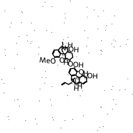 C=CCN1CC[C@]23c4c5ccc(O)c4O[C@H]2[C@@H](O)C=C[C@H]3[C@H]1C5.COc1ccc2c3c1O[C@H]1C(=O)CC[C@@]4(O)[C@@H](C2)N(C)CC[C@]314